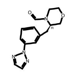 O=CN1CCOC[C@H]1Cc1cccc(-n2nccn2)c1